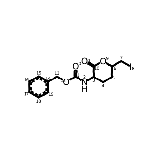 O=C(NC1CCC(CI)OC1=O)OCc1ccccc1